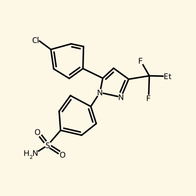 CCC(F)(F)c1cc(-c2ccc(Cl)cc2)n(-c2ccc(S(N)(=O)=O)cc2)n1